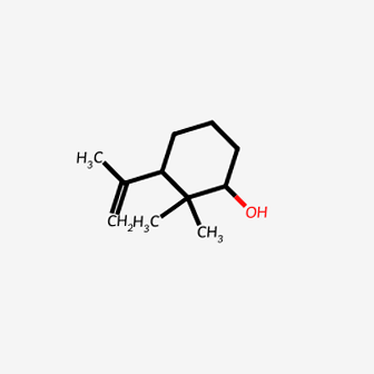 C=C(C)C1CCCC(O)C1(C)C